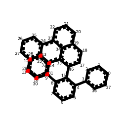 c1ccc(-c2cccc(-c3ccccc3)c2-c2ccc3cccc4c5cccc6cccc(c2c34)c65)cc1